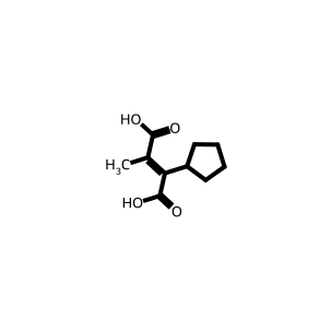 CC(C(=O)O)=C(C(=O)O)C1CCCC1